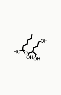 CCCCCC(=O)O.OCCCC(CO)CO